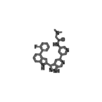 CN(C)CC(=O)Nc1cncc(-c2cc3c(-c4cc5c(-c6ccccc6F)cccc5[nH]4)n[nH]c3cn2)c1